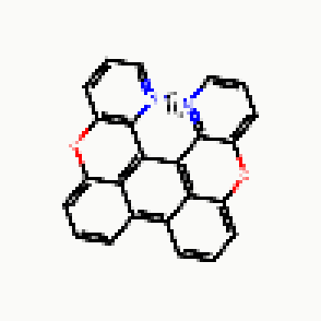 C[n+]1cccc2oc3cccc4c5cccc6oc7cccnc7c(c65)c(c34)c21